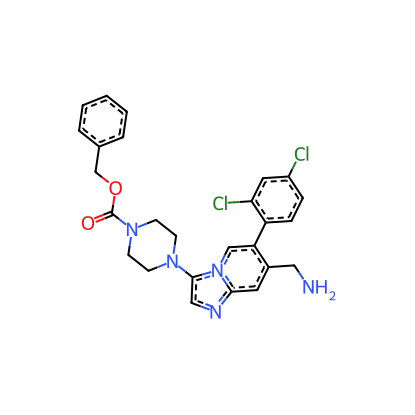 NCc1cc2ncc(N3CCN(C(=O)OCc4ccccc4)CC3)n2cc1-c1ccc(Cl)cc1Cl